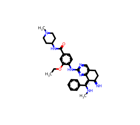 CCOc1cc(C(=O)NC2CCN(C)CC2)ccc1Nc1ncc2c(n1)/C(=C(/NC)c1ccccc1)C(=N)CC2